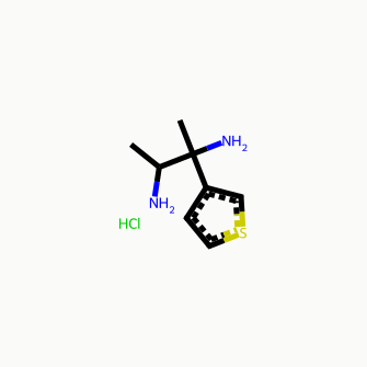 CC(N)C(C)(N)c1ccsc1.Cl